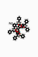 N#Cc1cc(-c2cc(-c3ccccc3)nc(-c3ccccc3)n2)c(-n2c3ccc(-c4nc(-c5ccccc5)nc(-c5ccccc5)n4)cc3c3cc(-c4nc(-c5ccccc5)nc(-c5ccccc5)n4)ccc32)c(-c2nc(-c3ccccc3)cc(-c3ccccc3)n2)c1